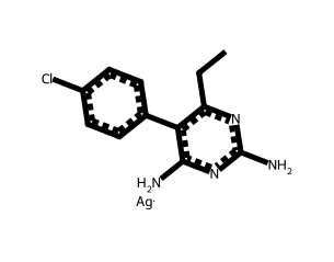 CCc1nc(N)nc(N)c1-c1ccc(Cl)cc1.[Ag]